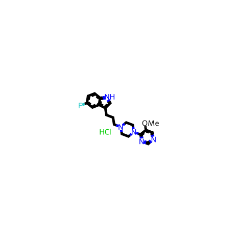 COc1cncnc1N1CCN(CCCc2c[nH]c3ccc(F)cc23)CC1.Cl